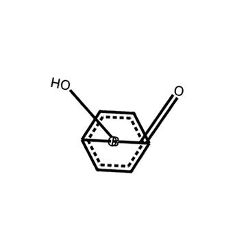 O=C1OB(O)c2ccc1cc2